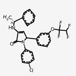 C[C@@H](NC1=CC(c2cccc(OC(F)(F)C(F)F)c2)N(c2ccc(Cl)cc2)C1=O)c1ccccc1